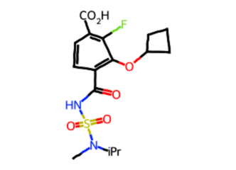 CC(C)N(C)S(=O)(=O)NC(=O)c1ccc(C(=O)O)c(F)c1OC1CCC1